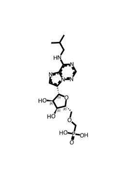 CC(C)CNc1ncnn2c([C@@H]3O[C@H](COCP(=O)(O)O)[C@@H](O)[C@H]3O)cnc12